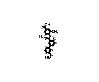 Cc1cc(C(=O)O)cc(C)c1NC(=O)c1cc(-c2cccc(CO)c2)ccc1Cl